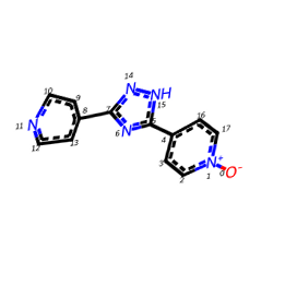 [O-][n+]1ccc(-c2nc(-c3ccncc3)n[nH]2)cc1